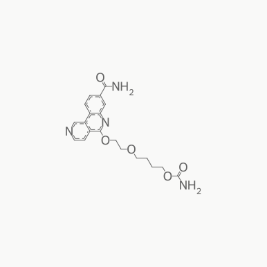 NC(=O)OCCCCOCCOc1nc2cc(C(N)=O)ccc2c2cnccc12